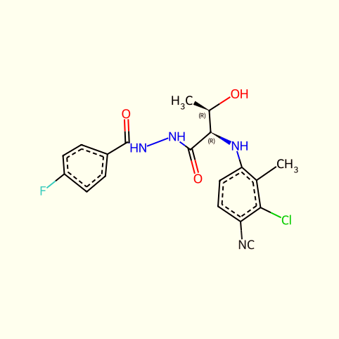 [C-]#[N+]c1ccc(N[C@@H](C(=O)NNC(=O)c2ccc(F)cc2)[C@@H](C)O)c(C)c1Cl